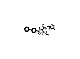 CCOC(=O)C(C(=O)NCC1=NOC(C)C1)N(C)C(=O)c1ccc(-c2ccccc2)cc1